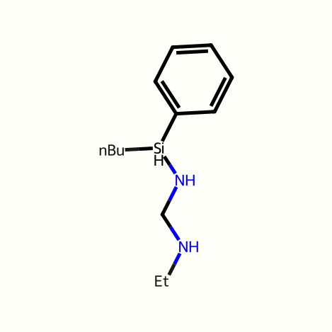 CCCC[SiH](NCNCC)c1ccccc1